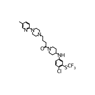 Cc1ccc(N2CCN(CCCC(=O)N3CCC(Nc4ccc(Cl)c(SC(F)(F)F)c4)CC3)CC2)nc1